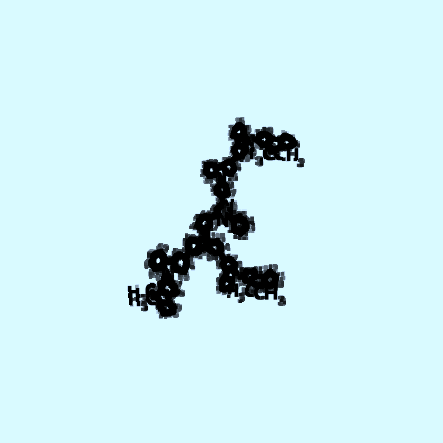 CC1(C)c2ccccc2-c2ccc(-n3c4ccccc4c4cc(-c5ccc6c(c5)c5ccccc5n6-c5ccc(-c6cc(-c7cccc(-n8c9ccc(-c%10ccc%11c(c%10)c%10ccccc%10n%11-c%10ccc%11c(c%10)C(C)(C)c%10ccccc%10-%11)cc9c9cc(-c%10ccc%11c(c%10)c%10ccccc%10n%11-c%10ccc%11c(c%10)C(C)(C)c%10ccccc%10-%11)ccc98)c7)nc(-c7ccccc7)n6)cc5)ccc43)cc21